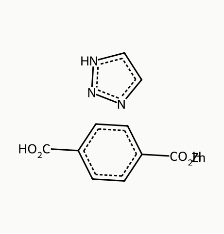 O=C(O)c1ccc(C(=O)O)cc1.[Zn].c1c[nH]nn1